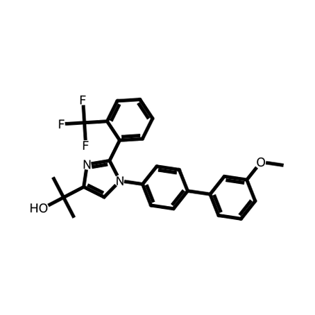 COc1cccc(-c2ccc(-n3cc(C(C)(C)O)nc3-c3ccccc3C(F)(F)F)cc2)c1